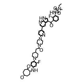 CCN(C)S(=O)(=O)Nc1cccc(C(=O)c2c[nH]c3ncc(-c4ccc(N5CCN(C(=O)CC6CCN(c7ccc(NC8CCC(=O)CCC8=O)cc7F)CC6)CC5)nc4)cc23)c1F